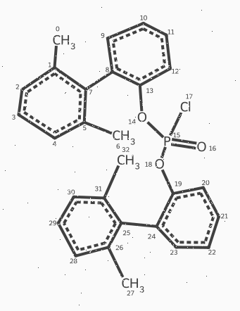 Cc1cccc(C)c1-c1ccccc1OP(=O)(Cl)Oc1ccccc1-c1c(C)cccc1C